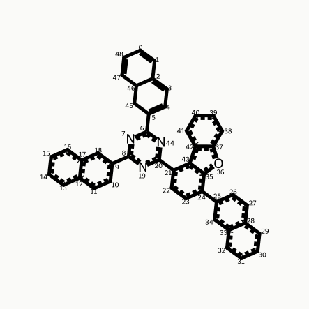 C1=CC2=CC=C(c3nc(-c4ccc5ccccc5c4)nc(-c4ccc(-c5ccc6ccccc6c5)c5oc6ccccc6c45)n3)CC2C=C1